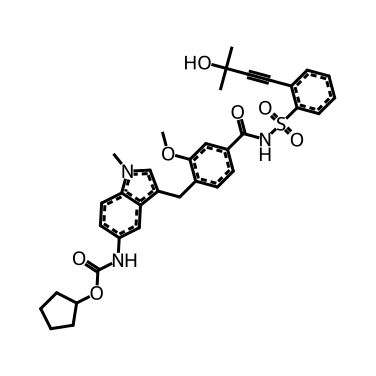 COc1cc(C(=O)NS(=O)(=O)c2ccccc2C#CC(C)(C)O)ccc1Cc1cn(C)c2ccc(NC(=O)OC3CCCC3)cc12